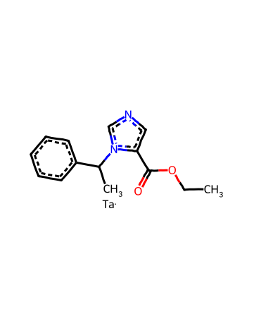 CCOC(=O)c1cncn1C(C)c1ccccc1.[Ta]